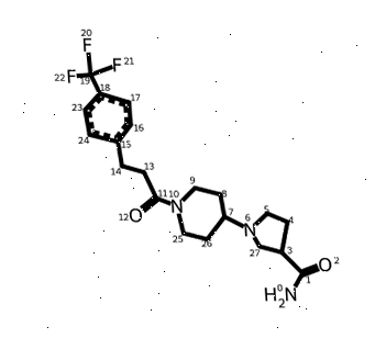 NC(=O)C1CCN(C2CCN(C(=O)CCc3ccc(C(F)(F)F)cc3)CC2)C1